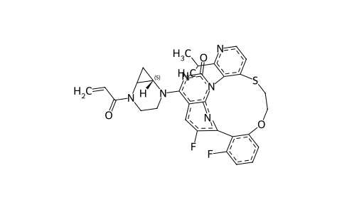 C=CC(=O)N1CCN(c2nc(=O)n3c4nc(c(F)cc24)-c2c(F)cccc2OCCSc2ccnc(C(C)C)c2-3)[C@H]2CC21